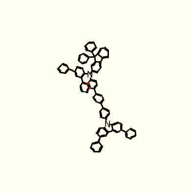 c1ccc(-c2ccc(N(c3ccc(-c4ccc(-c5ccc(-n6c7ccc(-c8ccccc8)cc7c7cc(-c8ccccc8)ccc76)cc5)cc4)cc3)c3ccc4c(c3)C(c3ccccc3)(c3ccccc3)c3ccccc3-4)c(-c3ccccc3)c2)cc1